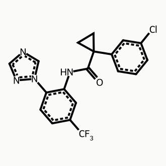 O=C(Nc1cc(C(F)(F)F)ccc1-n1cncn1)C1(c2cccc(Cl)c2)CC1